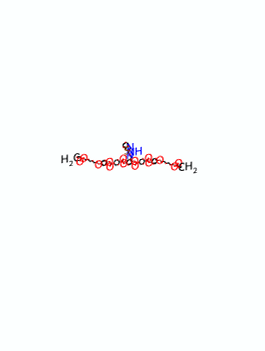 C=CC(=O)OCCCCCCOc1ccc(OC(=O)[C@H]2CC[C@H](C(=O)Oc3ccc(OC(=O)[C@H]4CC[C@H](C(=O)Oc5ccc(OCCCCCCOC(=O)C=C)cc5)CC4)c(/C=N/Nc4nc5ccccc5s4)c3)CC2)cc1